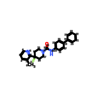 Cc1cccnc1C1(F)CCN(C(=O)Nc2ccc(-c3ccccc3)cc2)CC1